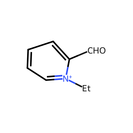 CC[n+]1ccccc1C=O